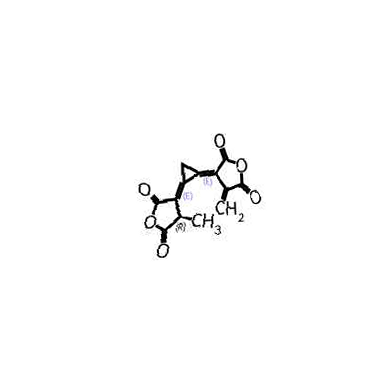 C=C1C(=O)OC(=O)/C1=C1\C\C1=C1/C(=O)OC(=O)[C@@H]1C